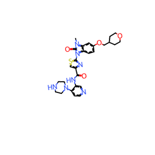 Cn1c(=O)n(-c2nc(C(=O)Nc3cnccc3N3CCNCC3)cs2)c2ccc(OCC3CCOCC3)cc21